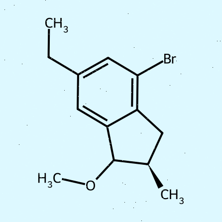 CCc1cc(Br)c2c(c1)C(OC)[C@H](C)C2